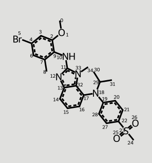 COc1cc(Br)cc(C)c1Nc1nc2cccc(N(c3ccc(S(C)(=O)=O)cc3)C(C)C)c2n1C